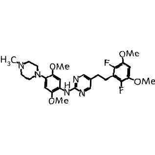 COc1cc(N2CCN(C)CC2)c(OC)cc1Nc1ncc(CCc2c(F)c(OC)cc(OC)c2F)cn1